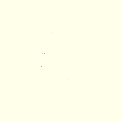 Fc1cccc(-c2nc(NC3CCNCC3)nc3ccccc23)c1F